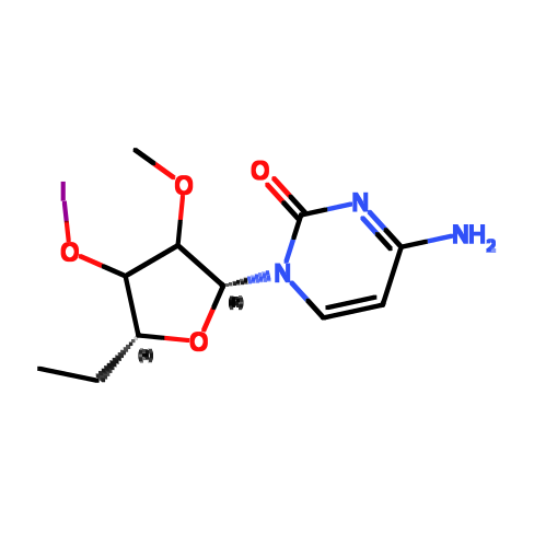 CC[C@H]1O[C@@H](n2ccc(N)nc2=O)C(OC)C1OI